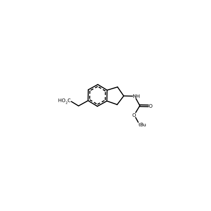 CC(C)(C)OC(=O)NC1Cc2ccc(CC(=O)O)cc2C1